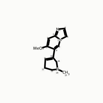 COc1cc2nccn2cc1C1=CCCN(C)C1